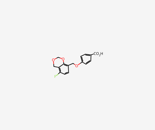 O=C(O)c1ccc(OCc2ccc(F)c3c2OCOC3)cc1